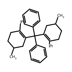 CC1CCC(C(C)C)=C(C(C2=C(C(C)C)CCC(C)C2)(c2ccccc2)c2ccccc2)C1